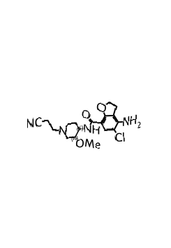 CO[C@@H]1CN(CCC#N)CC[C@@H]1NC(=O)c1cc(Cl)c(N)c2c1OCC2